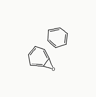 c1ccc2c(c1)O2.c1ccccc1